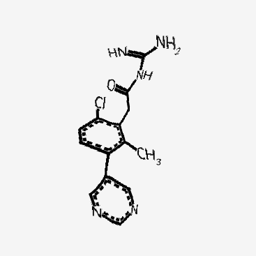 Cc1c(-c2cncnc2)ccc(Cl)c1CC(=O)NC(=N)N